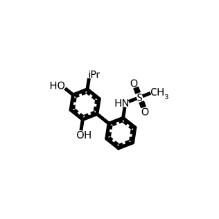 CC(C)c1cc(-c2ccccc2NS(C)(=O)=O)c(O)cc1O